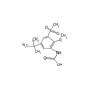 COc1c(NC(=O)O)cc(C(C)(C)C)cc1S(C)(=O)=O